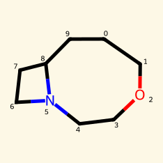 C1COCCN2CCC2C1